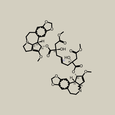 COC(=O)C[C@](O)(C/C=C/C[C@@](O)(CC(=O)OC)C(=O)O[C@@H]1C(OC)=C[C@]23CCCN2CCc2cc4c(cc2[C@H]13)OCO4)C(=O)O[C@@H]1C(OC)=C[C@]23CCCN2CCc2cc4c(cc2[C@H]13)OCO4